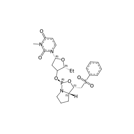 CC[C@H]1O[C@@H](n2ccc(=O)n(C)c2=O)CC1O[P@@]1O[C@H](CS(=O)(=O)c2ccccc2)[C@@H]2CCCN21